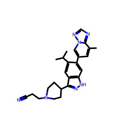 Cc1cc(-c2cc3[nH]nc(C4CCN(CCC#N)CC4)c3cc2C(C)C)cn2ncnc12